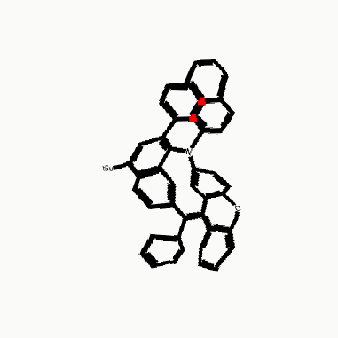 CC(C)(C)c1ccc(N(c2ccc3c(c2)C(=C(c2ccccc2)c2ccccc2)c2ccccc2O3)c2ccc3ccccc3c2)c(-c2ccccc2)c1